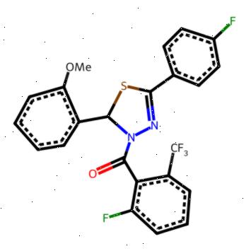 COc1ccccc1C1SC(c2ccc(F)cc2)=NN1C(=O)c1c(F)cccc1C(F)(F)F